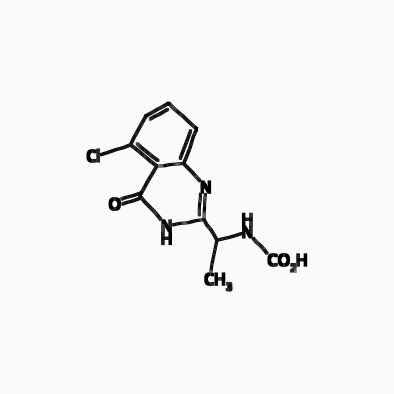 CC(NC(=O)O)c1nc2cccc(Cl)c2c(=O)[nH]1